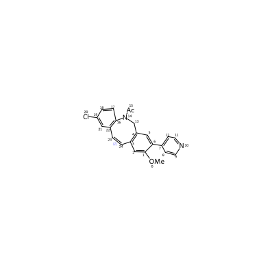 COc1cc2c(cc1-c1ccncc1)CN(C(C)=O)c1ccc(Cl)cc1/C=C\2